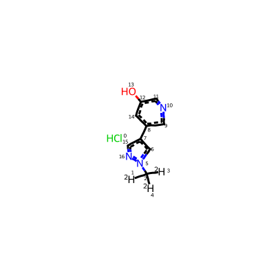 Cl.[2H]C([2H])([2H])n1cc(-c2cncc(O)c2)cn1